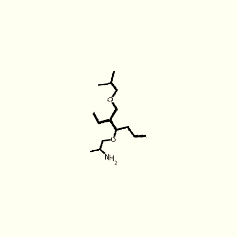 CCCC(OCC(C)N)C(CC)COCC(C)C